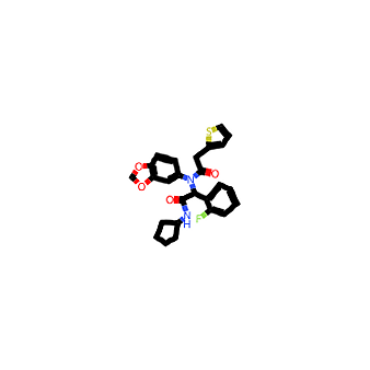 O=C(NC1CCCC1)C(c1ccccc1F)N(C(=O)Cc1cccs1)c1ccc2c(c1)OCO2